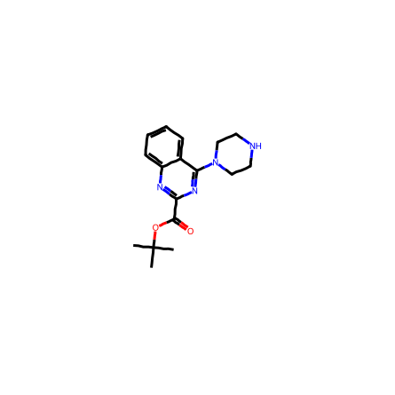 CC(C)(C)OC(=O)c1nc(N2CCNCC2)c2ccccc2n1